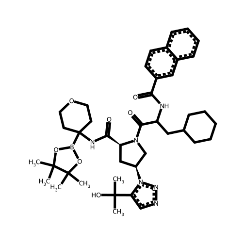 CC(C)(O)c1cnnn1[C@H]1C[C@@H](C(=O)NC2(B3OC(C)(C)C(C)(C)O3)CCOCC2)N(C(=O)C(CC2CCCCC2)NC(=O)c2ccc3ccccc3c2)C1